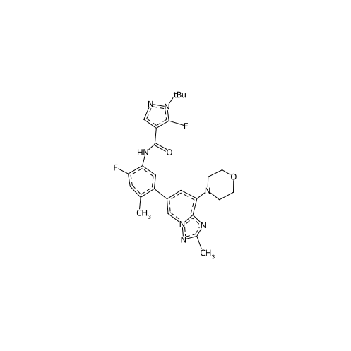 Cc1nc2c(N3CCOCC3)cc(-c3cc(NC(=O)c4cnn(C(C)(C)C)c4F)c(F)cc3C)cn2n1